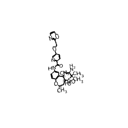 C[C@H]1C[C@@H]2[C@](C)(N=C(N)C(C)(C)S2(=O)=O)c2cc(NC(=O)c3ccc(OCc4ncco4)cn3)ccc2O1